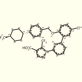 O=C(O)c1cnn(-c2cccc(-c3cc(Cl)ccc3OCc3ccc([C@H]4CC[C@H](C(F)(F)F)CC4)cc3)n2)c1C(F)(F)F